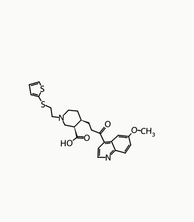 COc1ccc2nccc(C(=O)CC[C@@H]3CCN(CCSc4cccs4)C[C@@H]3C(=O)O)c2c1